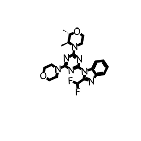 C[C@@H]1OCCN(c2nc(N3CCOCC3)nc(-n3c(C(F)F)nc4ccccc43)n2)[C@H]1C